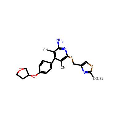 [C-]#[N+]c1c(N)nc(SCc2csc(C(=O)OCC)n2)c(C#N)c1-c1ccc(OC2CCOC2)cc1